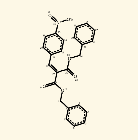 O=C(OCc1ccccc1)C(=Cc1ccc([N+](=O)[O-])cc1)C(=O)OCc1ccccc1